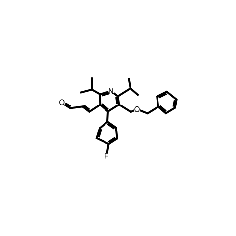 CC(C)c1nc(C(C)C)c(COCc2ccccc2)c(-c2ccc(F)cc2)c1/C=C/C=O